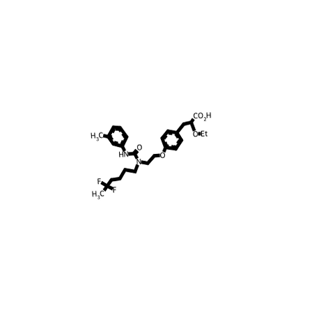 CCOC(Cc1ccc(OCCN(CCCCC(C)(F)F)C(=O)Nc2cccc(C)c2)cc1)C(=O)O